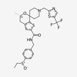 CC[S+]([O-])c1ccc(CNC(=O)c2cc3c(s2)C2(CCN(Cc4ncc(C(F)(F)F)s4)CC2)O[C@@H](C)C3)cc1